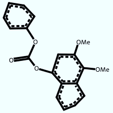 COc1cc(OC(=O)Oc2ccccc2)c2ccccc2c1OC